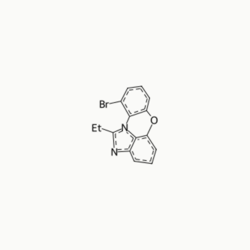 CCc1nc2cccc3c2n1-c1c(Br)cccc1O3